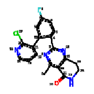 Cc1nc(-c2ccc(F)cc2-c2cccnc2Cl)nc2c1C(=O)NCC2